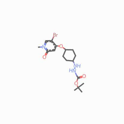 Cn1cc(Br)c(OC2CCC(NNC(=O)OC(C)(C)C)CC2)cc1=O